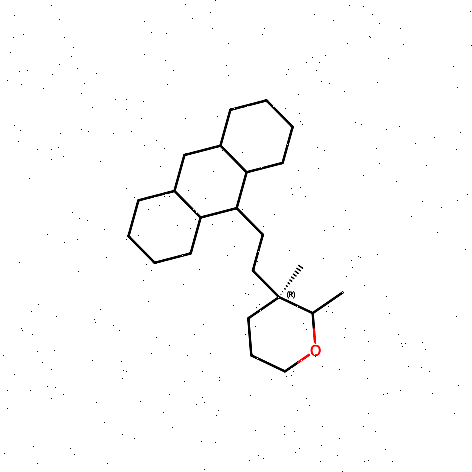 CC1OCCC[C@@]1(C)CCC1C2CCCCC2CC2CCCCC21